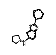 c1ccc(-c2nc3cc(NN4CCCC4)ccc3s2)cc1